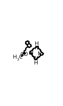 C1=Cc2cc3ccc(cc4nc(cc5ccc(cc1n2)[nH]5)C=C4)[nH]3.CCOC(=O)CCCc1cccc2ccccc12